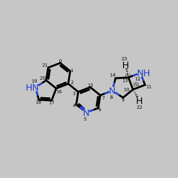 c1cc(-c2cncc(N3C[C@@H]4CN[C@@H]4C3)c2)c2cc[nH]c2c1